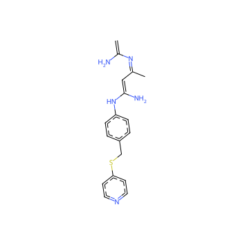 C=C(N)/N=C(C)\C=C(/N)Nc1ccc(CSc2ccncc2)cc1